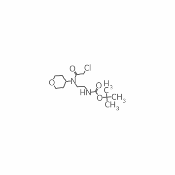 CC(C)(C)OC(=O)NCCN(C(=O)CCl)C1CCOCC1